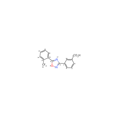 O=C(O)c1cccc(-c2noc(-c3ccccc3C(F)(F)F)n2)c1